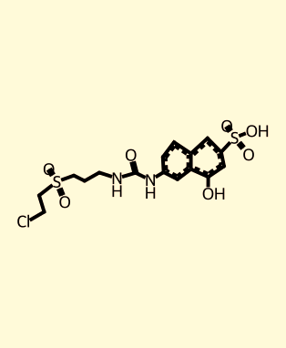 O=C(NCCCS(=O)(=O)CCCl)Nc1ccc2cc(S(=O)(=O)O)cc(O)c2c1